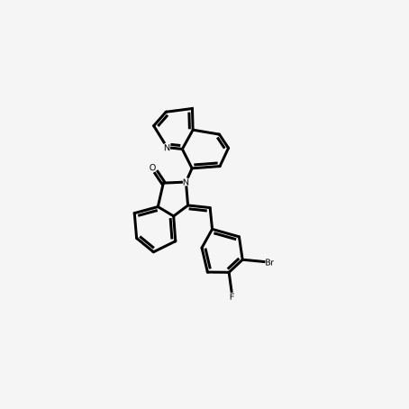 O=C1c2ccccc2C(=Cc2ccc(F)c(Br)c2)N1c1cccc2cccnc12